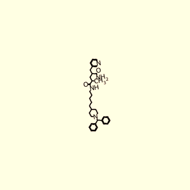 CC(CC(Cc1cccnc1)C(N)=O)C(=O)NCCCCCC1CCN(C(c2ccccc2)c2ccccc2)CC1